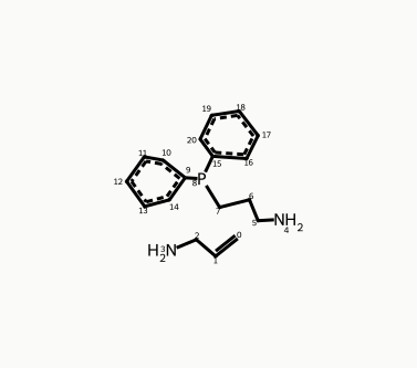 C=CCN.NCCCP(c1ccccc1)c1ccccc1